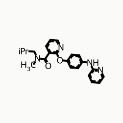 CC(C)CN(C)C(=O)c1cccnc1Oc1ccc(Nc2ccccn2)cc1